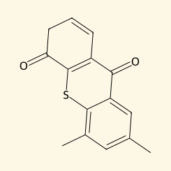 Cc1cc(C)c2sc3c(c(=O)c2c1)C=CCC3=O